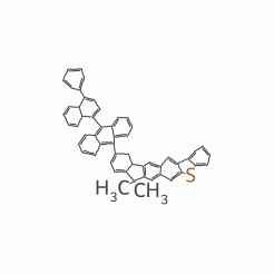 CC1(C)C2=CC=C(c3c4ccccc4c(C4=CC=C(c5ccccc5)C5C=CC=CC45)c4ccccc34)CC2c2cc3cc4c(cc3cc21)sc1ccccc14